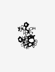 CO[C@H]1C(=O)[C@@]2(C)C([C@H](OC(=O)c3ccccc3)[C@]3(O)C[C@H](OC(=O)[C@H](O)[C@@H](NC(=O)OC(C)(C)C)c4ccccc4)C(C)=C1C3(C)C)[C@]1(OC(C)=O)CO[C@@H]1C[C@@H]2OC